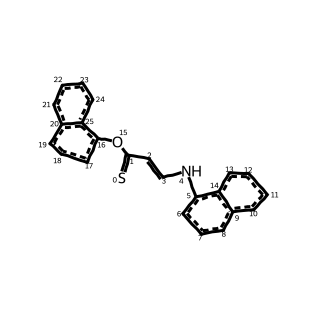 S=C(C=CNc1cccc2ccccc12)Oc1cccc2ccccc12